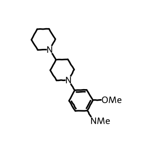 CNc1ccc(N2CCC(N3CCCCC3)CC2)cc1OC